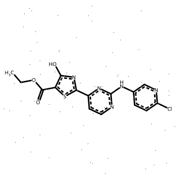 CCOC(=O)c1sc(-c2ccnc(Nc3ccc(Cl)nc3)n2)nc1O